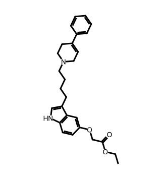 CCOC(=O)COc1ccc2[nH]cc(CCCCN3CC=C(c4ccccc4)CC3)c2c1